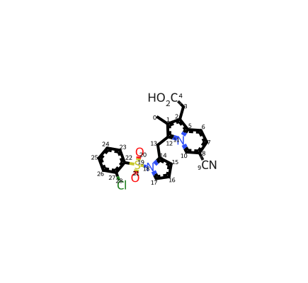 Cc1c(CC(=O)O)c2ccc(C#N)cn2c1Cc1cccn1S(=O)(=O)c1ccccc1Cl